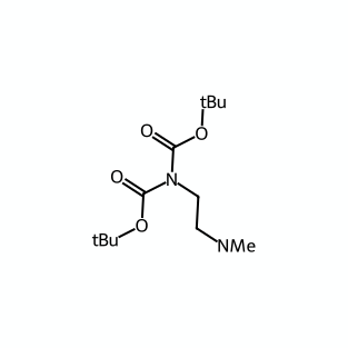 CNCCN(C(=O)OC(C)(C)C)C(=O)OC(C)(C)C